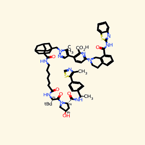 Cc1ncsc1-c1ccc([C@H](C)NC(=O)[C@@H]2C[C@@H](O)CN2C(=O)[C@@H](NC(=O)CCCCCCNC(=O)C23CC4CC(CC(Cn5ncc(-c6ccc(N7CCc8cccc(C(=O)Nc9nc%10ccccc%10s9)c8C7)nc6C(=O)O)c5C)(C4)C2)C3)C(C)(C)C)cc1